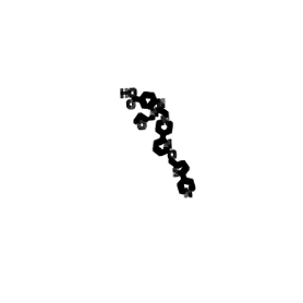 O=C(O)c1ccc2nc(CN3CCC(c4cccc(OCc5ccc(-c6ccncc6)s5)n4)CC3)n(C[C@@H]3CCO3)c2c1